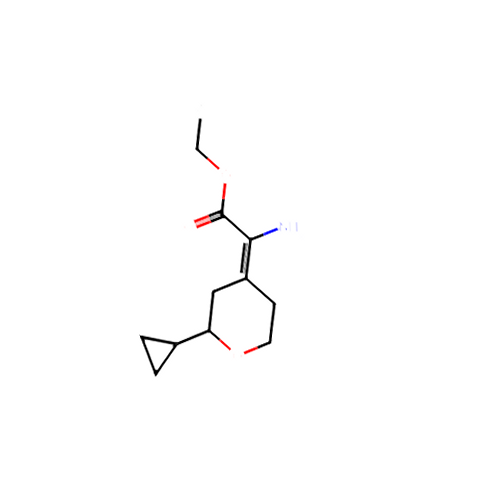 CCOC(=O)/C(N)=C1/CCOC(C2CC2)C1